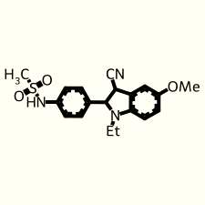 CCN1c2ccc(OC)cc2C(C#N)C1c1ccc(NS(C)(=O)=O)cc1